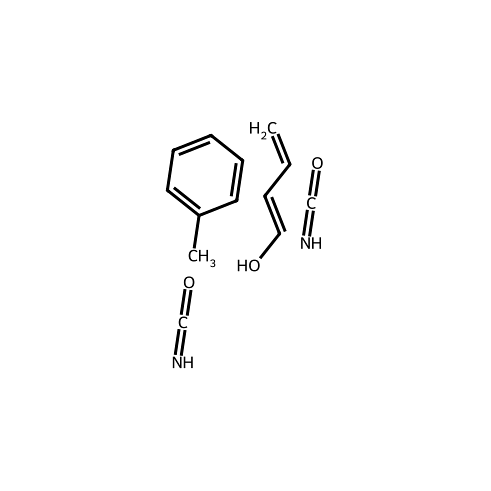 C=CC=CO.Cc1ccccc1.N=C=O.N=C=O